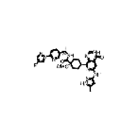 CO[C@]1(C(=O)N[C@@H](C)c2ccc(-n3cc(F)cn3)nc2)CC[C@H](c2nc(Nc3cc(C)[nH]n3)cc3c(=O)[nH]cnc32)CC1